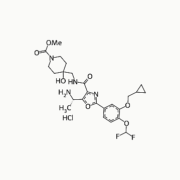 COC(=O)N1CCC(O)(CNC(=O)c2nc(-c3ccc(OC(F)F)c(OCC4CC4)c3)oc2[C@H](C)N)CC1.Cl